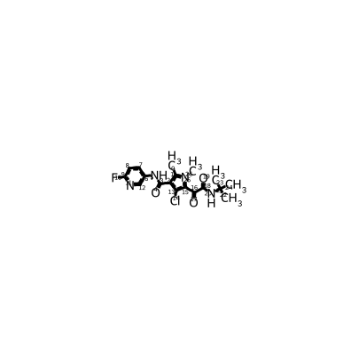 Cc1c(C(=O)Nc2ccc(F)nc2)c(Cl)c(C(=O)C(=O)NC(C)(C)C)n1C